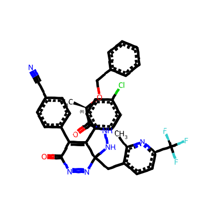 Cc1nc(C(F)(F)F)ccc1CC1(NNC(=O)[C@@H](C)OCc2ccccc2)N=NC(=O)C(c2ccc(C#N)cc2)=C1c1ccc(Cl)cc1